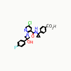 O=C(O)c1ccc(C2(NC(=O)c3cc(Cl)cnc3N3CC(O)(c4ccc(F)cc4)C3)CC2)cc1